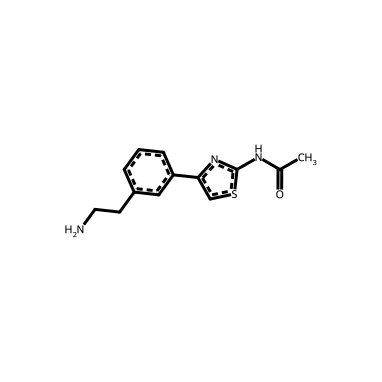 CC(=O)Nc1nc(-c2cccc(CCN)c2)cs1